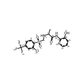 CC(NCS(=O)(=O)c1ccc(C(F)(F)F)cc1Cl)C(=O)Nc1ncccc1O